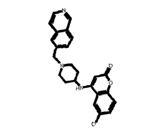 O=c1cc(NC2CCN(Cc3ccc4cnccc4c3)CC2)c2cc(Cl)ccc2o1